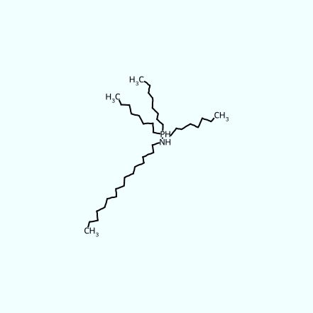 CCCCCCCCCCCCCCCCN[PH](CCCCCCCC)(CCCCCCCC)CCCCCCCC